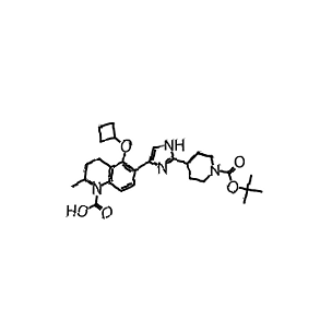 CC1CCc2c(ccc(-c3c[nH]c(C4CCN(C(=O)OC(C)(C)C)CC4)n3)c2OC2CCC2)N1C(=O)O